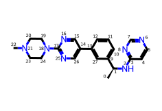 C[C@H](Nc1ccncn1)c1cccc(-c2cnc(N3CCN(C)CC3)nc2)c1